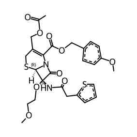 COCCO[C@@]1(NC(=O)Cc2cccs2)C(=O)N2C(C(=O)OCc3ccc(OC)cc3)=C(COC(C)=O)CS[C@@H]21